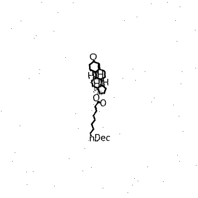 CCCCCCCCCCCCCCCCCC(=O)O[C@H]1CC[C@H]2[C@@H]3CCC4=CC(=O)CC[C@@H]4[C@H]3CC[C@]12C